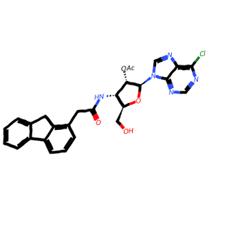 CC(=O)O[C@H]1[C@@H](NC(=O)Cc2cccc3c2Cc2ccccc2-3)[C@H](CO)O[C@@H]1n1cnc2c(Cl)ncnc21